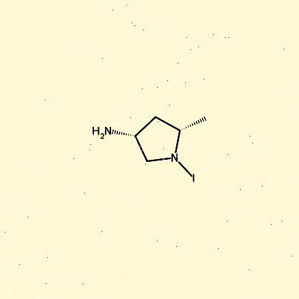 C[C@H]1C[C@@H](N)CN1I